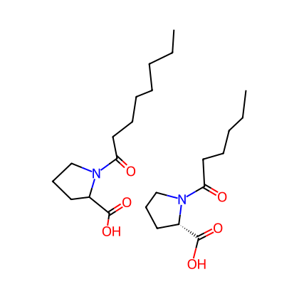 CCCCCC(=O)N1CCC[C@H]1C(=O)O.CCCCCCCC(=O)N1CCCC1C(=O)O